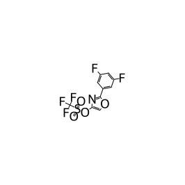 O=S(=O)(Oc1coc(-c2cc(F)cc(F)c2)n1)C(F)(F)F